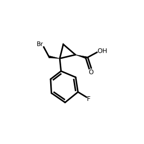 O=C(O)[C@@H]1C[C@@]1(CBr)c1cccc(F)c1